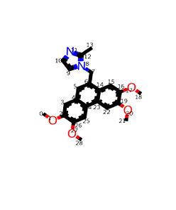 COc1cc2cc(Cn3ccnc3C)c3cc(OC)c(OC)cc3c2cc1OC